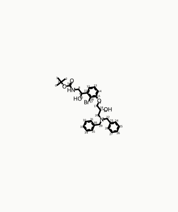 CC(C)(C)OC(=O)NCC(O)c1cccc(OC[C@H](O)CN(Cc2ccccc2)Cc2ccccc2)c1Br